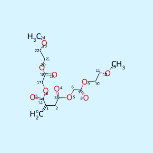 C=C(CC(=O)OCC(=O)OCCOC)C(=O)OCC(=O)OCCOC